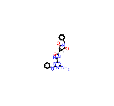 CN(c1ccccc1)c1nc(N)nc(-c2noc([C@H]3[C@]4(C)C(=O)N(Cc5ccccc5)C(=O)[C@]34C)n2)n1